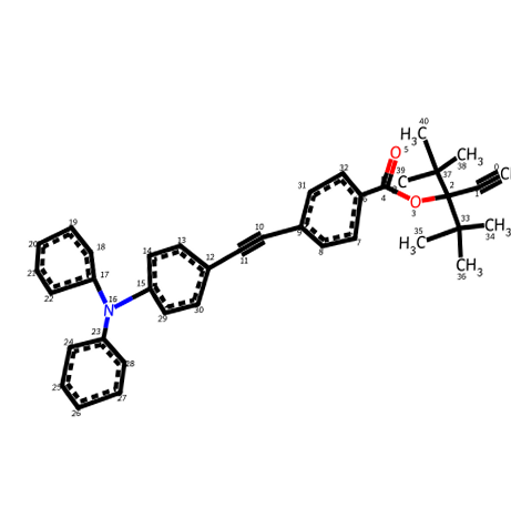 C#CC(OC(=O)c1ccc(C#Cc2ccc(N(c3ccccc3)c3ccccc3)cc2)cc1)(C(C)(C)C)C(C)(C)C